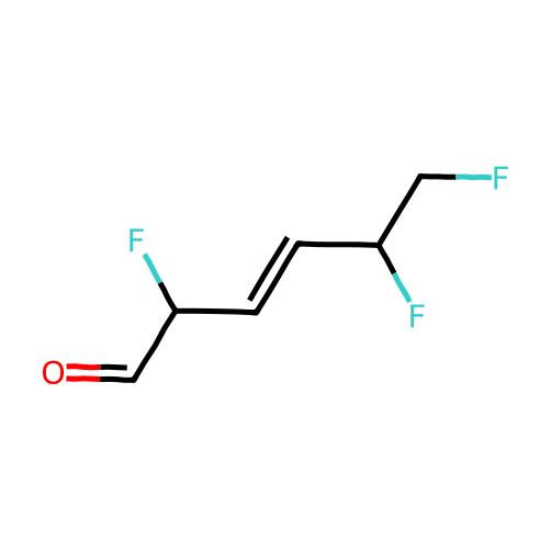 O=CC(F)C=CC(F)CF